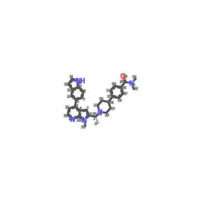 C[C@H](c1cc2c(-c3ccc4[nH]ccc4c3)ccnc2n1C)N1CCC(c2ccc(C(=O)N(C)C)cc2)CC1